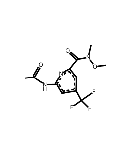 CON(C)C(=O)c1cc(C(F)(F)F)cc(NC(C)=O)n1